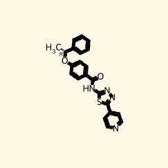 C[C@@H](Oc1ccc(C(=O)Nc2nnc(-c3ccncc3)s2)cc1)c1ccccc1